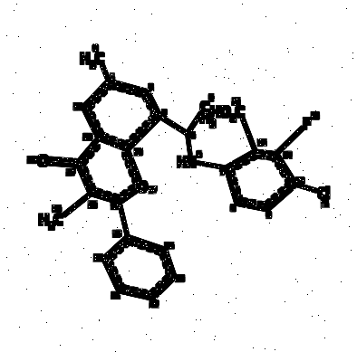 Cc1cc(C(C)Nc2ccc(Cl)c(F)c2C(=O)O)c2oc(-c3ccccc3)c(C)c(=O)c2c1